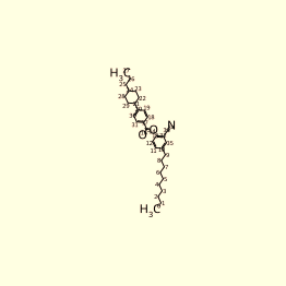 CCCCCCCCCCc1ccc(OC(=O)c2ccc(C3CCC(CCC)CC3)cc2)c(C#N)c1